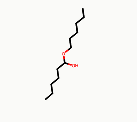 CCCCCCOC(O)CCCCC